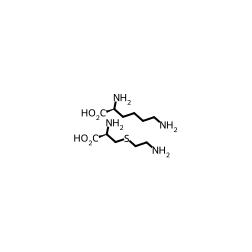 NCCCC[C@H](N)C(=O)O.NCCSC[C@H](N)C(=O)O